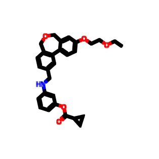 CCOCCOc1ccc2c(c1)COCc1ccc(CNc3cccc(OC(=O)C4CC4)c3)cc1-2